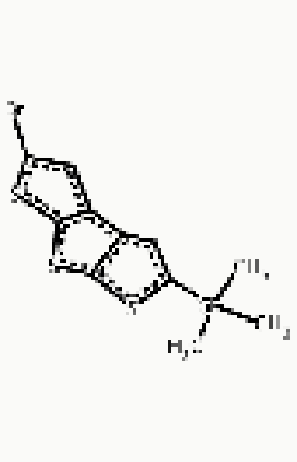 C[Si](C)(C)c1cc2c(s1)sc1sc(Br)cc12